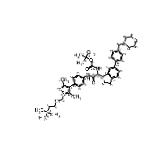 Cc1nn(COCCS(C)(C)C)c(C)c1-c1ccc(NC(=O)[C@@H](NC(=O)OC(C)(C)C)[C@@H]2CCc3ccc(-c4ccc(CN5CCOCC5)cc4)cc32)cc1